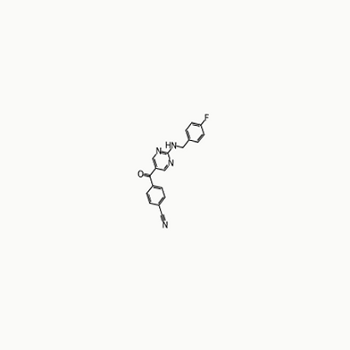 N#Cc1ccc(C(=O)c2cnc(NCc3ccc(F)cc3)nc2)cc1